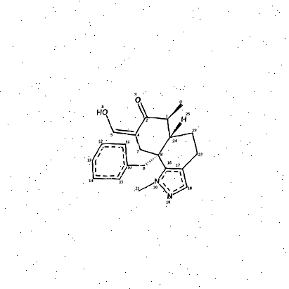 C[C@@H]1C(=O)C(=CO)C[C@]2(Cc3ccccc3)c3c(cnn3C)CC[C@@H]12